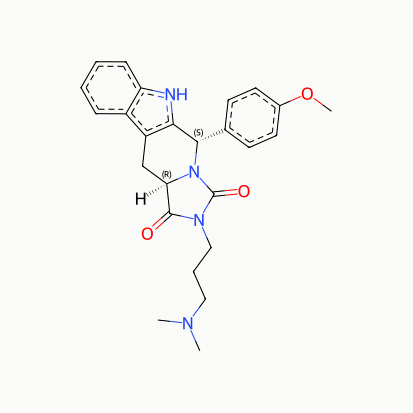 COc1ccc([C@H]2c3[nH]c4ccccc4c3C[C@@H]3C(=O)N(CCCN(C)C)C(=O)N23)cc1